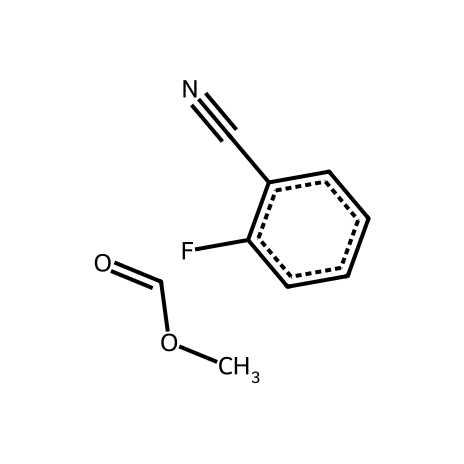 COC=O.N#Cc1ccccc1F